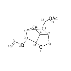 C=COC1C2OC3C(COC31)C2COC(C)=O